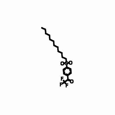 CCCCCCCCCCCCS(=O)(=O)c1ccc(C(=O)C(F)(F)F)cc1